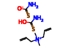 C=CC[N+](C)(C)CC=C.NC(O)=S.NC([O-])=S